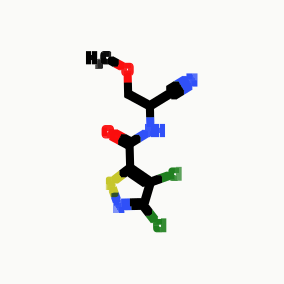 COCC(C#N)NC(=O)c1snc(Cl)c1Cl